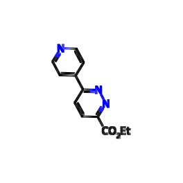 CCOC(=O)c1ccc(-c2ccncc2)nn1